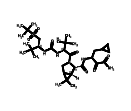 CC(C)(C)[C@H](NC(=O)N[C@H](CS(=O)(=O)C(C)(C)C)C(C)(C)C)C(=O)N1CC2[C@@H]([C@H]1C(=O)NC(CC1CC1)C(=O)C(N)=O)C2(C)C